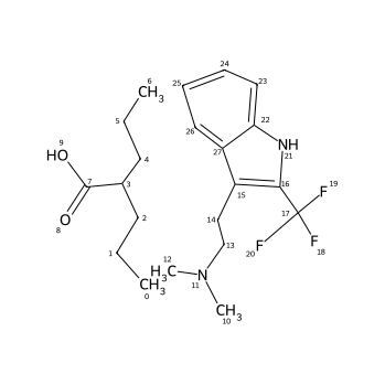 CCCC(CCC)C(=O)O.CN(C)CCc1c(C(F)(F)F)[nH]c2ccccc12